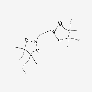 CCC1(C)OB(CB2OC(C)(C)C(C)(C)O2)OC1(C)C